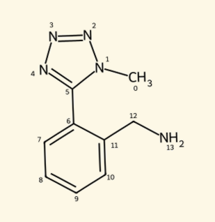 Cn1nnnc1-c1ccccc1CN